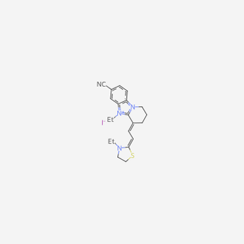 CCN1CCSC1=CC=C1CCCn2c1[n+](CC)c1cc(C#N)ccc12.[I-]